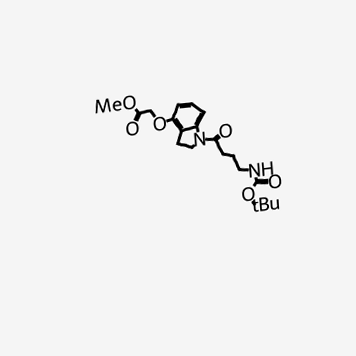 COC(=O)COc1cccc2c1CCN2C(=O)CCCNC(=O)OC(C)(C)C